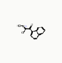 O=C(/C(Cl)=N/O)c1cccc2ccccc12